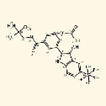 CC(=O)O.Cc1c(-c2cncc(C(=O)NCC(C)(C)N)n2)[nH]c2ccc(S(F)(F)(F)(F)F)cc12